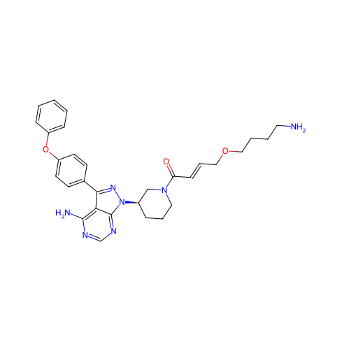 NCCCCOC/C=C/C(=O)N1CCC[C@@H](n2nc(-c3ccc(Oc4ccccc4)cc3)c3c(N)ncnc32)C1